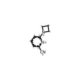 N#Cc1cccc(N2C[CH]C2)n1